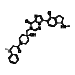 CNC1CCc2c1ccc(-c1cnc3c(=O)n(CC4(O)CCN(C(=O)C[C@@H](C)c5ccccc5)CC4)cnn13)c2Cl